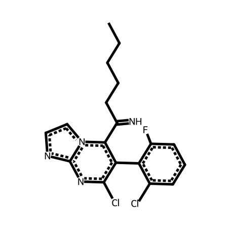 CCCCCC(=N)c1c(-c2c(F)cccc2Cl)c(Cl)nc2nccn12